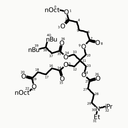 CCCCCCCCOC(=O)CCCC(=O)OCC(COC(=O)CCCC(=O)OCCCCCCCC)(COC(=O)CCCN(CC)C(C)C)COC(=O)CC(CCCC)CCCC